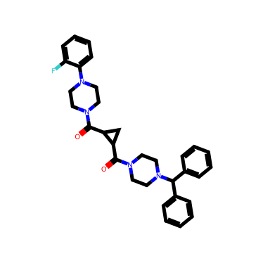 O=C(C1CC1C(=O)N1CCN(C(c2ccccc2)c2ccccc2)CC1)N1CCN(c2ccccc2F)CC1